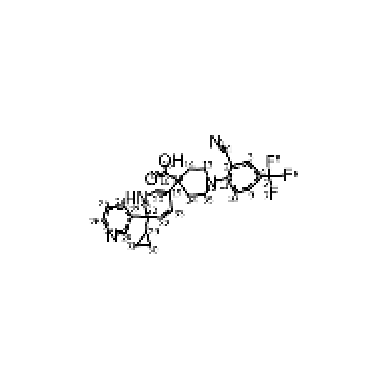 N#Cc1cc(C(F)(F)F)ccc1N1CCC(C(=O)O)(C2=CNC(c3cccnc3)(C3CC3)C=C2)CC1